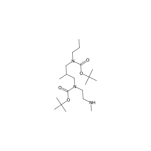 CCCN(CC(C)CN(CCNC)C(=O)OC(C)(C)C)C(=O)OC(C)(C)C